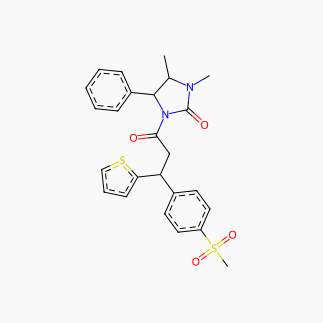 CC1C(c2ccccc2)N(C(=O)CC(c2ccc(S(C)(=O)=O)cc2)c2cccs2)C(=O)N1C